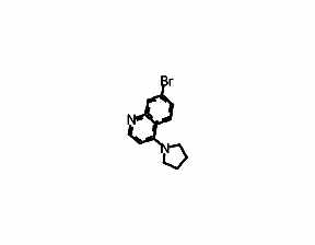 Brc1ccc2c(N3CCCC3)ccnc2c1